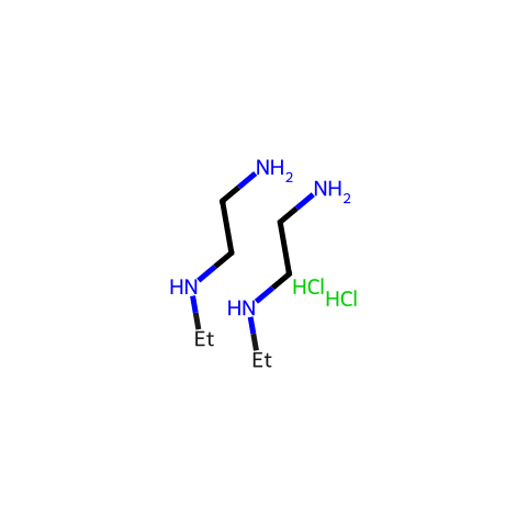 CCNCCN.CCNCCN.Cl.Cl